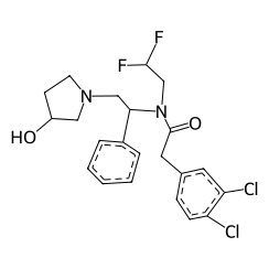 O=C(Cc1ccc(Cl)c(Cl)c1)N(CC(F)F)C(CN1CCC(O)C1)c1ccccc1